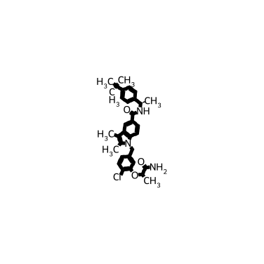 Cc1c(C)n(Cc2ccc(Cl)c(OC(C)C(N)=O)c2)c2ccc(C(=O)N[C@@H](C)c3ccc(C(C)(C)C)cc3)cc12